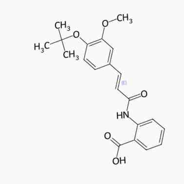 COc1cc(/C=C/C(=O)Nc2ccccc2C(=O)O)ccc1OC(C)(C)C